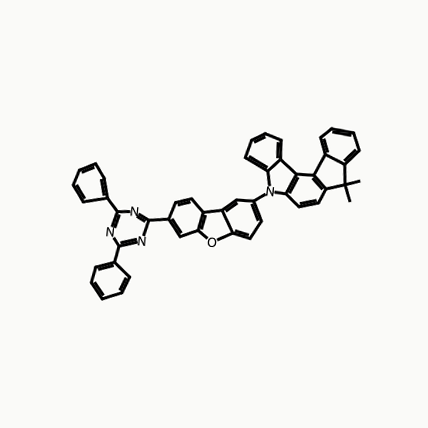 CC1(C)c2ccccc2-c2c1ccc1c2c2ccccc2n1-c1ccc2oc3cc(-c4nc(-c5ccccc5)nc(-c5ccccc5)n4)ccc3c2c1